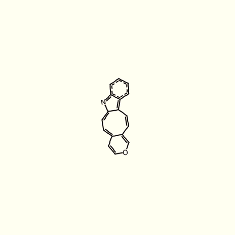 C1=C/C2=C/C=C3/N=c4ccccc4=C3/C=C\C2=CO1